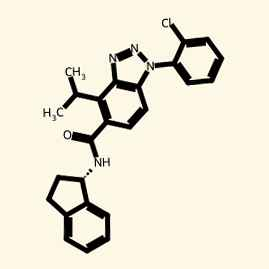 CC(C)c1c(C(=O)N[C@H]2CCc3ccccc32)ccc2c1nnn2-c1ccccc1Cl